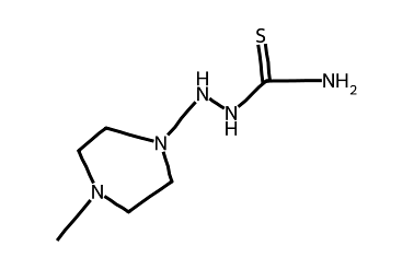 CN1CCN(NNC(N)=S)CC1